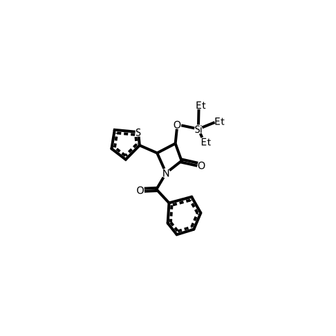 CC[Si](CC)(CC)OC1C(=O)N(C(=O)c2ccccc2)C1c1cccs1